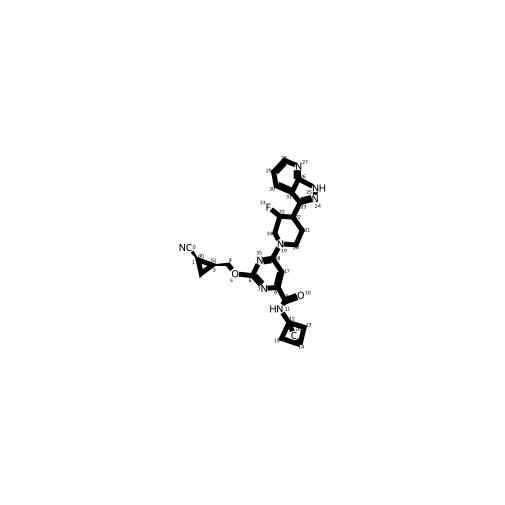 N#C[C@@H]1C[C@@H]1COc1nc(C(=O)NC23CC(C2)C3)cc(N2CCC(c3n[nH]c4ncccc34)C(F)C2)n1